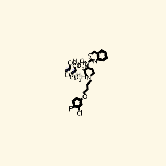 CN(C1=Nc2ccccc2CS1)C1CCN(CCCCOc2ccc(F)c(Cl)c2)CC1.O=C(O)/C=C/C(=O)O.O=C(O)/C=C/C(=O)O